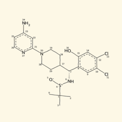 CC(C)(C)[S+]([O-])N[C@@H](c1cc(Cl)c(Cl)cc1O)C1CCN(c2cc(N)ccn2)CC1